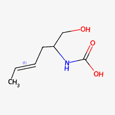 C/C=C/CC(CO)NC(=O)O